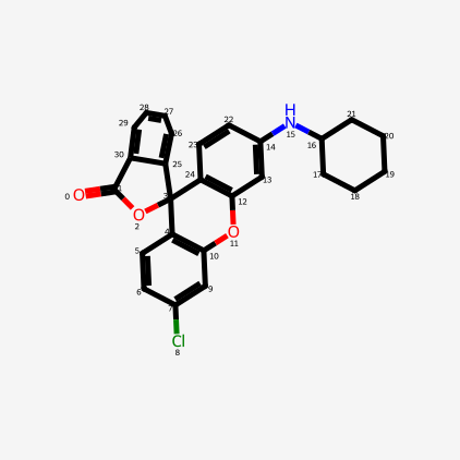 O=C1OC2(c3ccc(Cl)cc3Oc3cc(NC4CCCCC4)ccc32)c2ccccc21